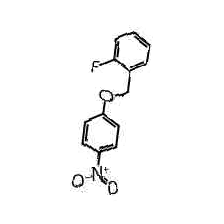 O=[N+]([O-])c1ccc(OCc2ccccc2F)cc1